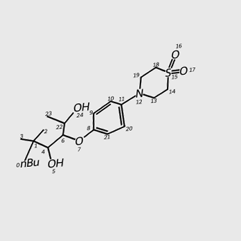 CCCCC(C)(C)C(O)C(Oc1ccc(N2CCS(=O)(=O)CC2)cc1)C(C)O